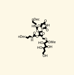 CCCCCCCCCCCCNC(=O)OC1[C@@H](CO[C@H](OC)[C@@H](O)C(O)[C@H](O)CCO)O[C@@H](n2ccc(=O)[nH]c2=O)[C@H]1OC(=O)NCCCCCCCCCCCC